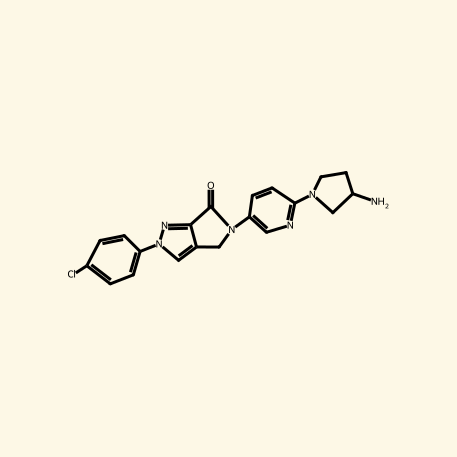 NC1CCN(c2ccc(N3Cc4cn(-c5ccc(Cl)cc5)nc4C3=O)cn2)C1